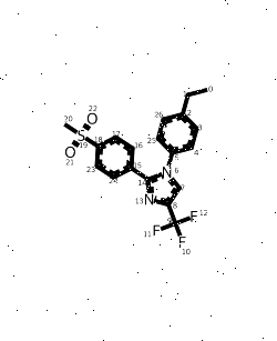 CCc1ccc(-n2cc(C(F)(F)F)nc2-c2ccc(S(C)(=O)=O)cc2)cc1